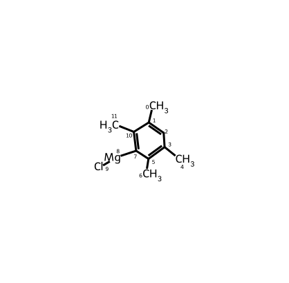 Cc1cc(C)c(C)[c]([Mg][Cl])c1C